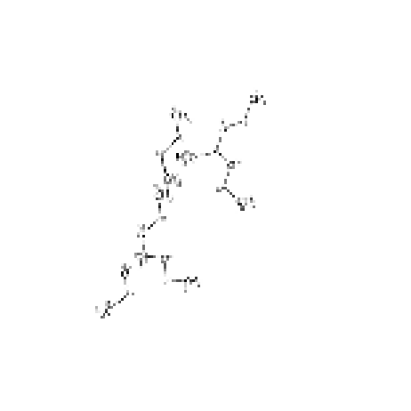 CCCC.CCOC(C)OCC.CCO[SiH](OCC)OCC